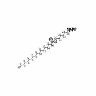 CCCCCCCCCCCCCCCCCC(=O)OCCCCCCN=[N+]=[N-]